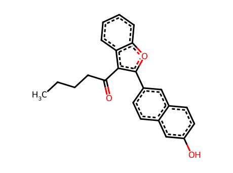 CCCCC(=O)c1c(-c2ccc3cc(O)ccc3c2)oc2ccccc12